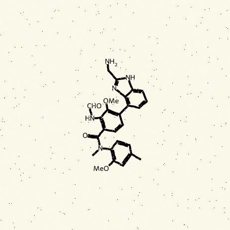 COc1cc(C)ccc1N(C)C(=O)c1ccc(-c2cccc3[nH]c(CN)nc23)c(OC)c1NC=O